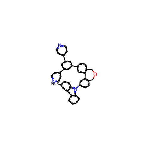 N#Cc1ccc2c(c1)c1ccccc1n2-c1ccc2c(c1)-c1cc(-c3cc(-c4ccncc4)cc(-c4ccncc4)c3)ccc1COC2